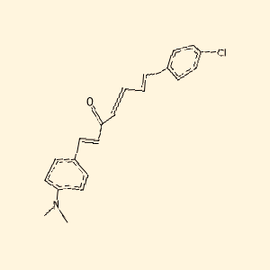 CN(C)c1ccc(C=CC(=O)C=CC=Cc2ccc(Cl)cc2)cc1